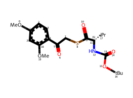 COc1ccc(C(=O)CSC(=O)[C@@H](NC(=O)OC(C)(C)C)C(C)C)c(OC)c1